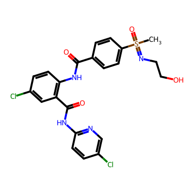 CS(=O)(=NCCO)c1ccc(C(=O)Nc2ccc(Cl)cc2C(=O)Nc2ccc(Cl)cn2)cc1